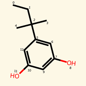 CCC(C)(C)c1cc(O)cc(O)c1